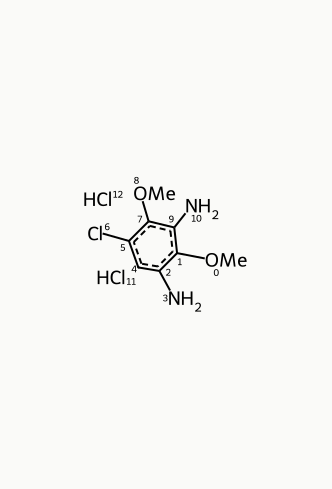 COc1c(N)cc(Cl)c(OC)c1N.Cl.Cl